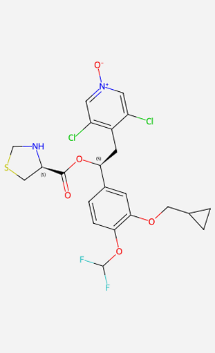 O=C(O[C@@H](Cc1c(Cl)c[n+]([O-])cc1Cl)c1ccc(OC(F)F)c(OCC2CC2)c1)[C@H]1CSCN1